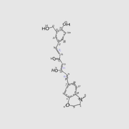 CN1CCOc2cc(/C=C/C(O)=C/C(=O)/C=C/c3ccc(O)c(CO)c3)ccc21